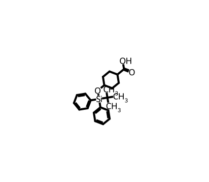 CC(C)(C)[Si](OC1CCC(C(=O)O)CC1)(c1ccccc1)c1ccccc1